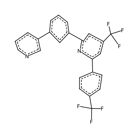 FC(F)(F)c1ccc(-c2cc(C(F)(F)F)cc(-c3cccc(-c4cccnc4)c3)n2)cc1